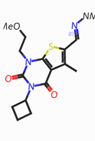 CN/N=C/c1sc2c(c1C)c(=O)n(C1CCC1)c(=O)n2CCOC